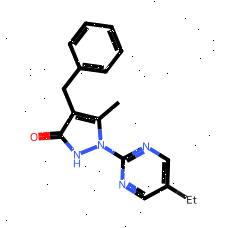 CCc1cnc(-n2[nH]c(=O)c(Cc3ccccc3)c2C)nc1